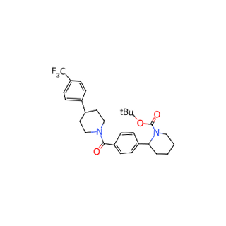 CC(C)(C)OC(=O)N1CCCCC1c1ccc(C(=O)N2CCC(c3ccc(C(F)(F)F)cc3)CC2)cc1